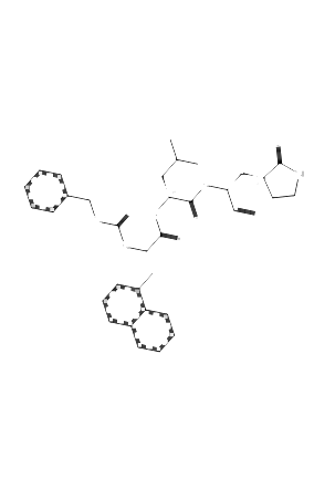 C=C[C@H](C[C@@H]1CCNC1=O)NC(=O)[C@H](CC(C)C)NC(=O)[C@H](Cc1cccc2ccccc12)NC(=O)OCc1ccccc1